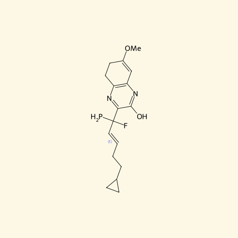 COC1=Cc2nc(O)c(C(F)(P)/C=C/CCC3CC3)nc2CC1